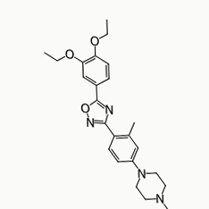 CCOc1ccc(-c2nc(-c3ccc(N4CCN(C)CC4)cc3C)no2)cc1OCC